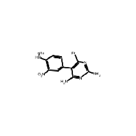 CCCCNc1ccc(-c2c(N)nc(N)nc2CC)cc1[N+](=O)[O-]